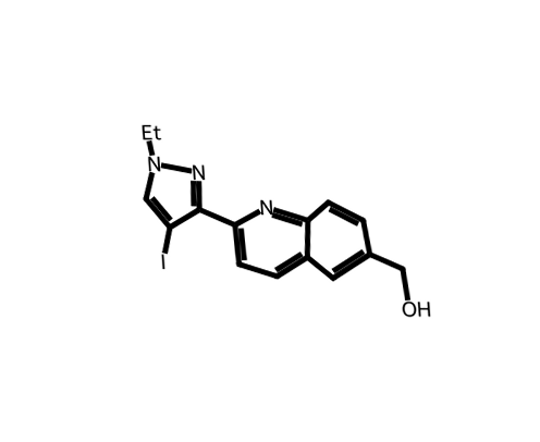 CCn1cc(I)c(-c2ccc3cc(CO)ccc3n2)n1